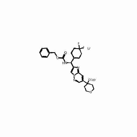 O=C(N[C@H](c1cn2ncc(C3(C(=O)[O-])CCOCC3)cc2n1)C1CCC(F)(F)CC1)OCc1ccccc1.[Li+]